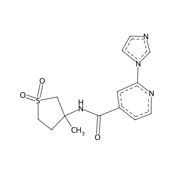 CC1(NC(=O)c2ccnc(-n3ccnc3)c2)CCS(=O)(=O)C1